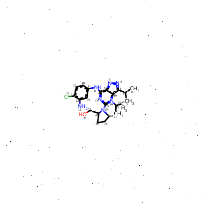 CC(C)c1nnc2c(Nc3ccc(Cl)c(N)c3)nc(N3CCCC3CO)n(C(C)C)c1-2